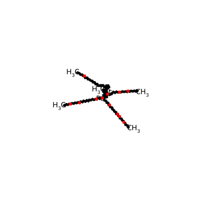 CCCCCCCCCCCCCCCCCCC#CCCc1ccccc1C1=CC(C)=C(c2ccccc2CCC#CCCCCCCCCCCCCCCCCCC)[N+]1=[N-].CCCCCCCCCCCCCCCCCCCCCCCCCC[CH2][Pd][CH2]CCCCCCCCCCCCCCCCCCCCCCCCCC